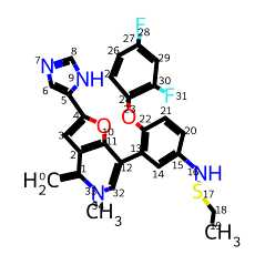 C=C1c2cc(-c3cnc[nH]3)oc2C(c2cc(NSCC)ccc2Oc2ccc(F)cc2F)=CN1C